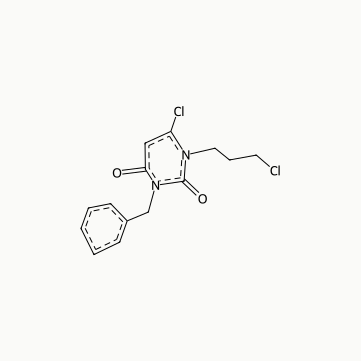 O=c1cc(Cl)n(CCCCl)c(=O)n1Cc1ccccc1